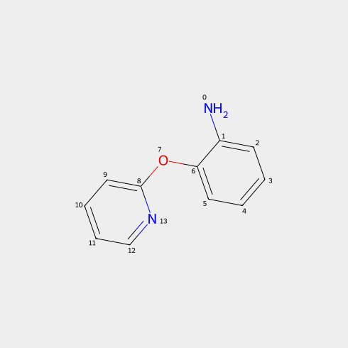 Nc1ccccc1Oc1ccccn1